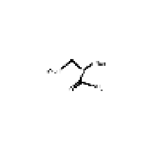 CCCCCCCCCCN(CCCCCCCCC)C(N)=O